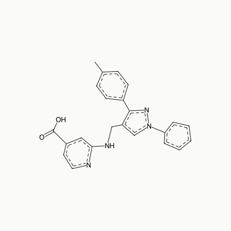 Cc1ccc(-c2nn(-c3ccccc3)cc2CNc2cc(C(=O)O)ccn2)cc1